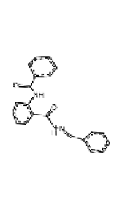 O=C(Nc1ccccc1C(=O)NN=Cc1ccccc1)c1ccccc1